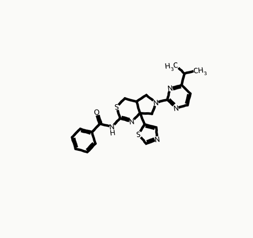 CC(C)c1ccnc(N2CC3CSC(NC(=O)c4ccccc4)=NC3(c3cncs3)C2)n1